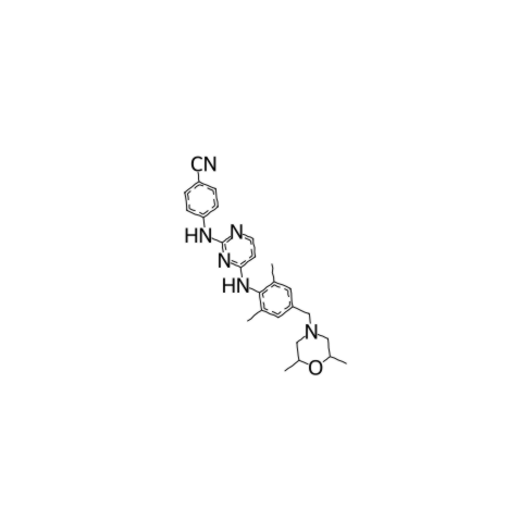 Cc1cc(CN2CC(C)OC(C)C2)cc(C)c1Nc1ccnc(Nc2ccc(C#N)cc2)n1